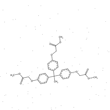 COC(=O)COc1ccc(C(C)(c2ccc(OCC(=O)OC)cc2)c2ccc(OCC(=O)OC)cc2)cc1